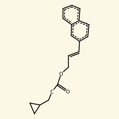 O=C(CCC1CC1)OCC=Cc1ccc2ccccc2c1